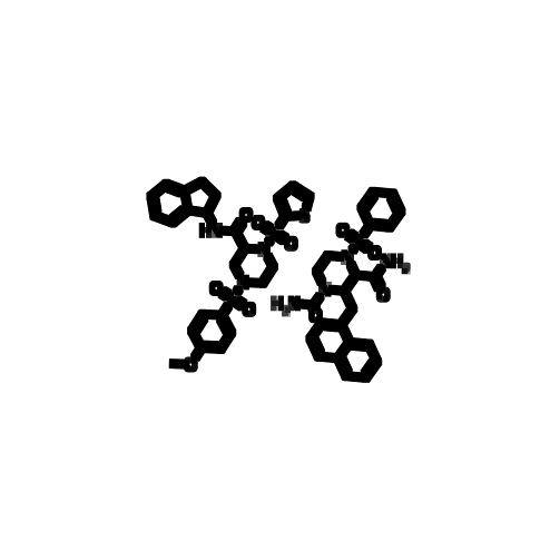 COc1ccc(S(=O)(=O)N2CCN(S(=O)(=O)c3cccs3)C(C(=O)NC3CCc4ccccc43)C2)cc1.NC(=O)C1C(Cc2cccc3ccccc23)N(C(N)=O)CCN1S(=O)(=O)c1ccccc1